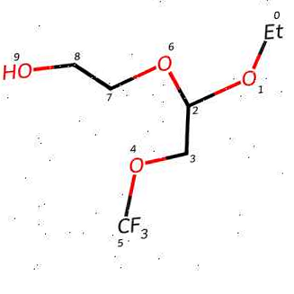 CCOC(COC(F)(F)F)OCCO